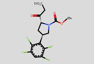 CCOC(=O)CC(=O)[C@H]1C[C@H](c2c(F)c(F)cc(F)c2F)CN1C(=O)OC(C)(C)C